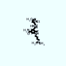 CCn1nc(C)cc1-c1nnc(-c2cc(C(N)=O)cc3c2cnn3CCCCN(C)C)[nH]1